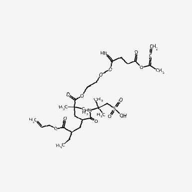 C=C=C(C)OC(=O)CCC(=N)OOCCOC(=O)C(C)(C)CC(CC(CC)C(=O)OCC=C)C(=O)NC(C)(C)CS(=O)(=O)O